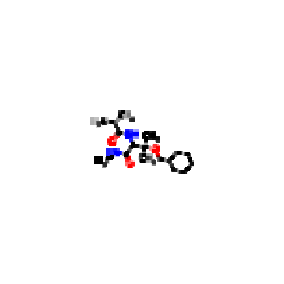 CNC(=O)C(NC(=O)C(C)C)C(C)(C)OCC1CCCCC1